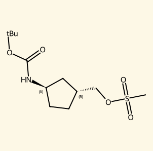 CC(C)(C)OC(=O)N[C@@H]1CC[C@@H](COS(C)(=O)=O)C1